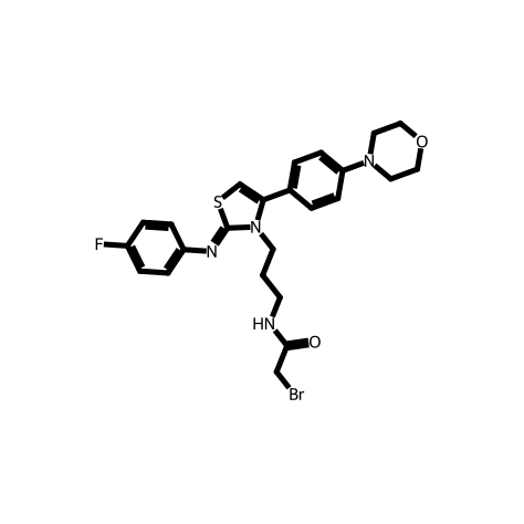 O=C(CBr)NCCCn1c(-c2ccc(N3CCOCC3)cc2)csc1=Nc1ccc(F)cc1